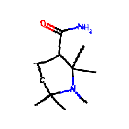 CN1C(C)(C)C[CH]C(C(N)=O)C1(C)C